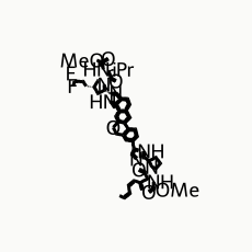 C=C(/C=C\C=C/C)[C@@H](NC(=O)OC)C(=O)N1CCCC1c1ncc(-c2ccc3c(c2)COc2cc4c(ccc5nc([C@@H]6C[C@H](CCC(F)F)CN6C(=O)[C@@H](NC(=O)OC)C(C)C)[nH]c54)cc2-3)[nH]1